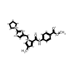 COC(=O)c1ccc(NC(=O)c2cc(C)cn2Cc2csc(N3CCCC3)n2)cc1